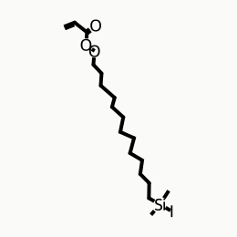 C=CC(=O)OOCCCCCCCCCCCCC[Si](C)(C)I